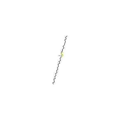 CCCCCCCCCCCCCCCCCCC[CH]SCCCCCCCCCCCC